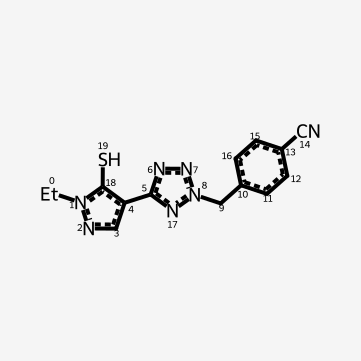 CCn1ncc(-c2nnn(Cc3ccc(C#N)cc3)n2)c1S